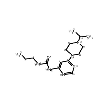 CCCNC(=O)Nc1cc(N2CCN(C(C)C)CC2)ncn1